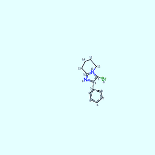 Brc1c(-c2ccccc2)nc2n1CCCC2